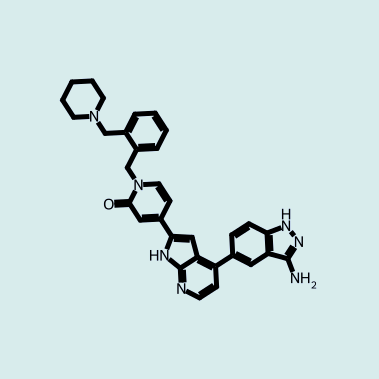 Nc1n[nH]c2ccc(-c3ccnc4[nH]c(-c5ccn(Cc6ccccc6CN6CCCCC6)c(=O)c5)cc34)cc12